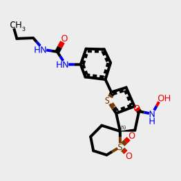 CCCNC(=O)Nc1cccc(-c2ccc([C@@]3(CC(=O)NO)CCCCS3(=O)=O)s2)c1